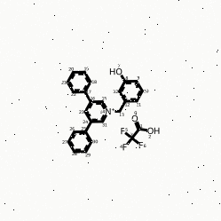 O=C(O)C(F)(F)F.Oc1cccc(C[n+]2cc(-c3ccccc3)cc(-c3ccccc3)c2)c1